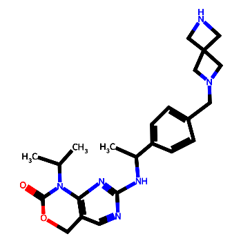 CC(Nc1ncc2c(n1)N(C(C)C)C(=O)OC2)c1ccc(CN2CC3(CNC3)C2)cc1